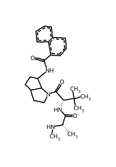 CN[C@@H](C)C(=O)N[C@H](C(=O)N1CCC2CCC(NC(=O)c3cccc4ccccc34)C21)C(C)(C)C